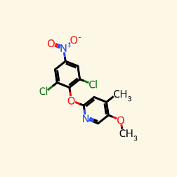 COc1cnc(Oc2c(Cl)cc([N+](=O)[O-])cc2Cl)cc1C